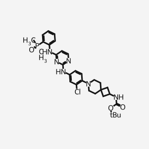 CC(C)(C)OC(=O)NC1CC2(CCN(c3ccc(Nc4nccc(Nc5ccccc5P(C)(C)=O)n4)cc3Cl)CC2)C1